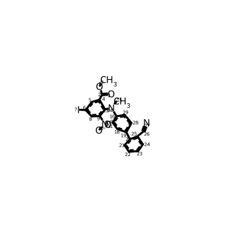 COC(=O)c1cc(I)cc([N+](=O)[O-])c1N(C)c1ccc(-c2ccccc2C#N)cc1